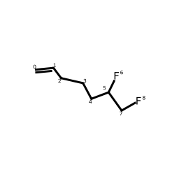 C=CCCCC(F)CF